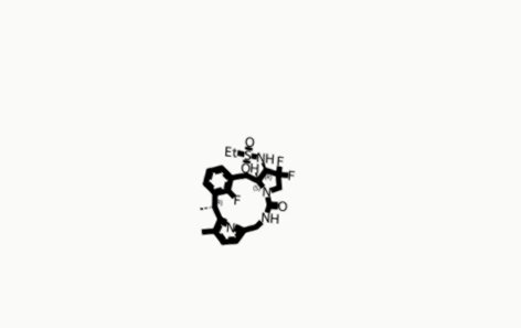 CCS(=O)(=O)N[C@@H]1[C@@H]2Cc3cccc(c3F)[C@@H](C)c3nc(ccc3C)CNC(=O)N2CC1(F)F